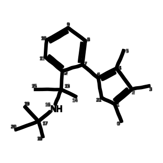 CC1=C(C)C(C)=C(c2ccccc2C(C)(C)NC(C)(C)C)C1